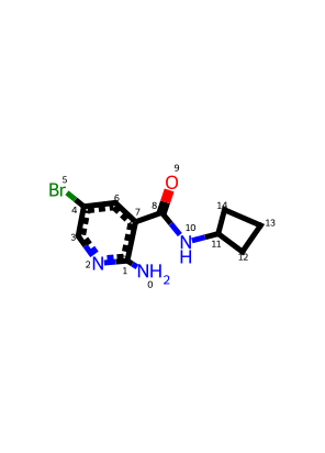 Nc1ncc(Br)cc1C(=O)NC1CCC1